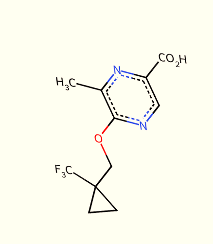 Cc1nc(C(=O)O)cnc1OCC1(C(F)(F)F)CC1